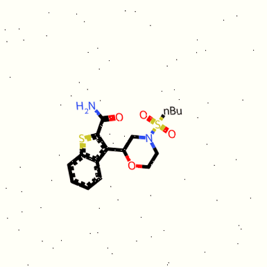 CCCCS(=O)(=O)N1CCOC(c2c(C(N)=O)sc3ccccc23)C1